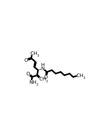 C=C(C(N)=O)[C@H](/C=C/C(C)=O)NC(=O)CCCCCCC